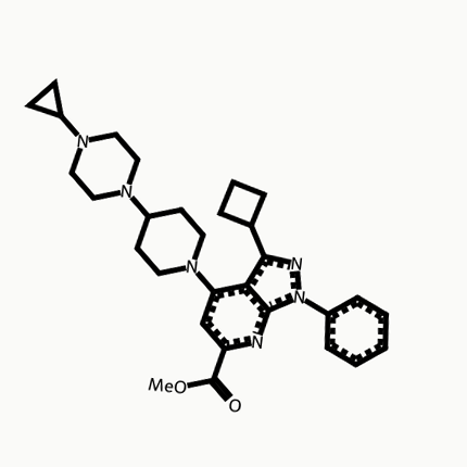 COC(=O)c1cc(N2CCC(N3CCN(C4CC4)CC3)CC2)c2c(C3CCC3)nn(-c3ccccc3)c2n1